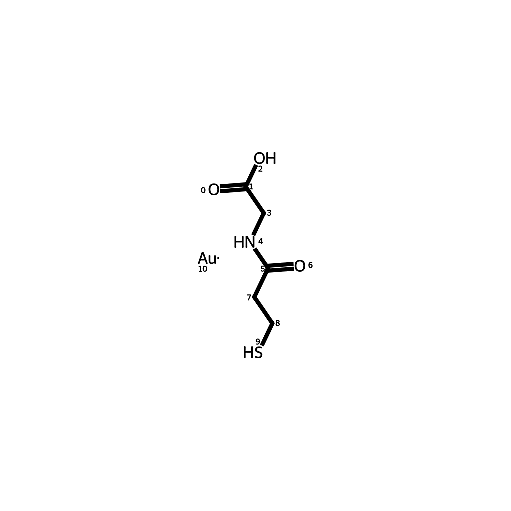 O=C(O)CNC(=O)CCS.[Au]